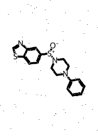 [O-][S+](c1ccc2scnc2c1)N1CCN(c2ccccc2)CC1